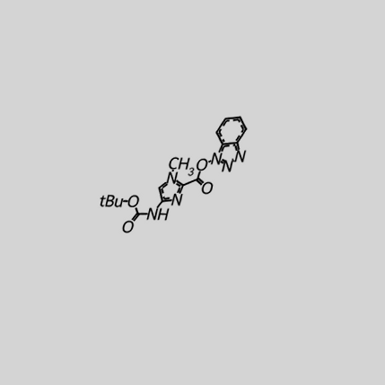 Cn1cc(NC(=O)OC(C)(C)C)nc1C(=O)On1nnc2ccccc21